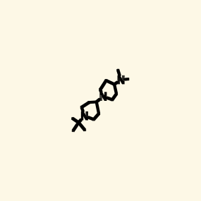 CN(C)C1CCN(C2CCN(C(C)(C)C)CC2)CC1